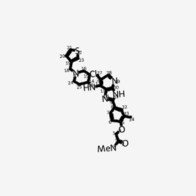 CNC(=O)COc1ccc(-c2nc3c(NC4CCN(Cc5ccsc5)CC4)c(Cl)cnc3[nH]2)cc1C